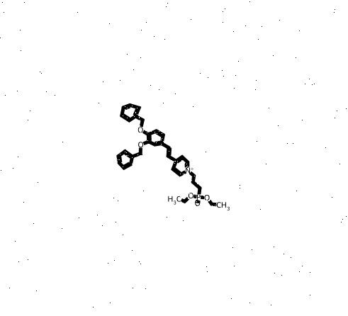 CCOP(=O)(CCC[n+]1ccc(C=Cc2ccc(OCc3ccccc3)c(OCc3ccccc3)c2)cc1)OCC